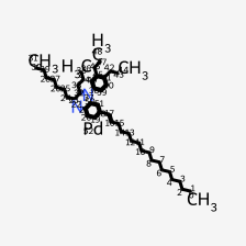 CCCCCCCCCCCCCCCCC=Cc1ccc(N=C(CCCCCCCC)C(CCCC)=Nc2ccc(CCC)c(CCC)c2)cc1.[Pd]